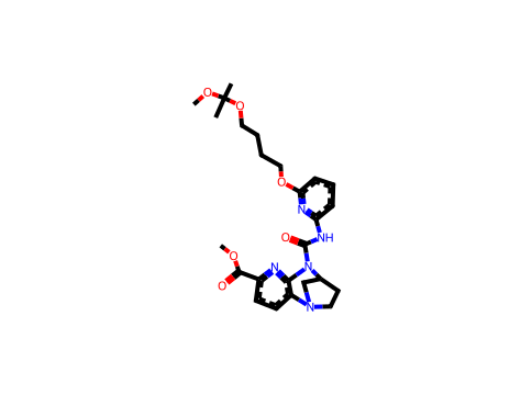 COC(=O)c1ccc2c(n1)N(C(=O)Nc1cccc(OCCCCOC(C)(C)OC)n1)C1CCN2C1